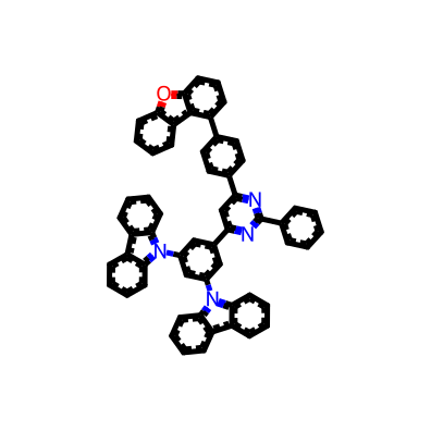 c1ccc(-c2nc(-c3ccc(-c4cccc5oc6ccccc6c45)cc3)cc(-c3cc(-n4c5ccccc5c5ccccc54)cc(-n4c5ccccc5c5ccccc54)c3)n2)cc1